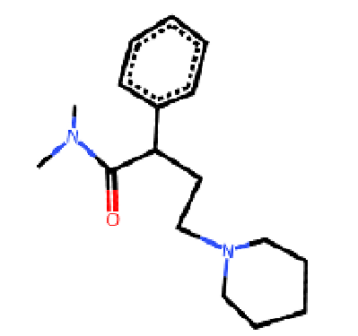 CN(C)C(=O)C(CCN1CCCCC1)c1ccccc1